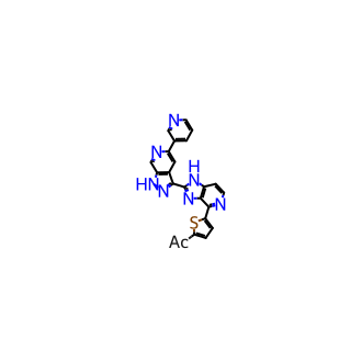 CC(=O)c1ccc(-c2nccc3[nH]c(-c4n[nH]c5cnc(-c6cccnc6)cc45)nc23)s1